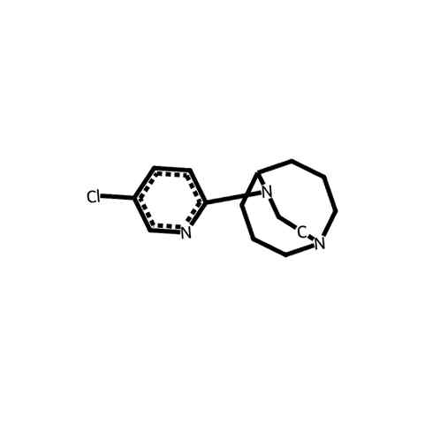 Clc1ccc(N2CCN3CCCC2CCC3)nc1